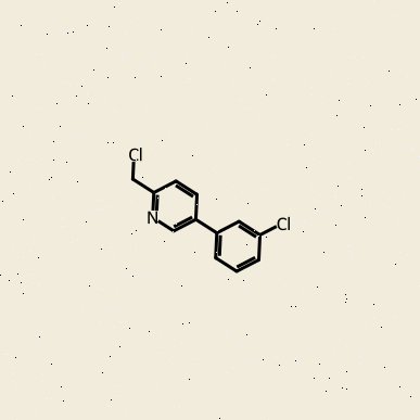 ClCc1ccc(-c2cccc(Cl)c2)cn1